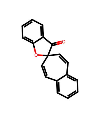 O=C1c2ccccc2OC12C=Cc1ccccc1C=C2